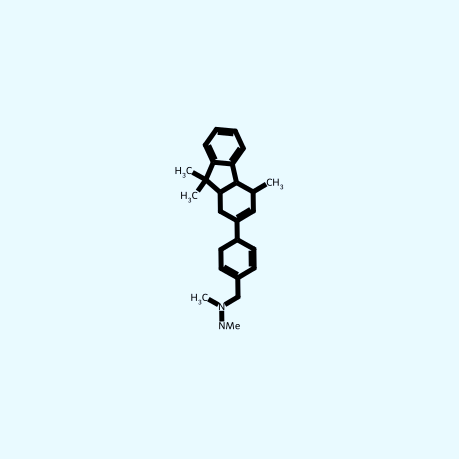 CNN(C)CC1=CCC(C2=CC(C)C3c4ccccc4C(C)(C)C3C2)C=C1